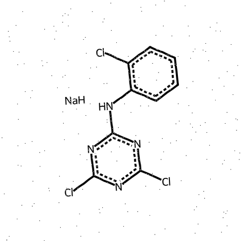 Clc1nc(Cl)nc(Nc2ccccc2Cl)n1.[NaH]